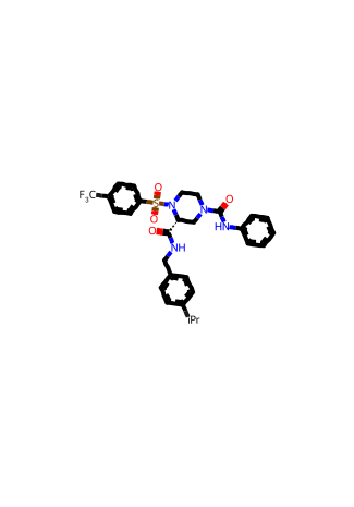 CC(C)c1ccc(CNC(=O)[C@H]2CN(C(=O)Nc3ccccc3)CCN2S(=O)(=O)c2ccc(C(F)(F)F)cc2)cc1